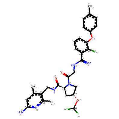 Cc1ccc(Oc2cccc(C(=N)NCC(=O)N3C[C@H](OC(F)F)C[C@H]3C(=O)NCc3c(C)cc(N)nc3C)c2F)cc1